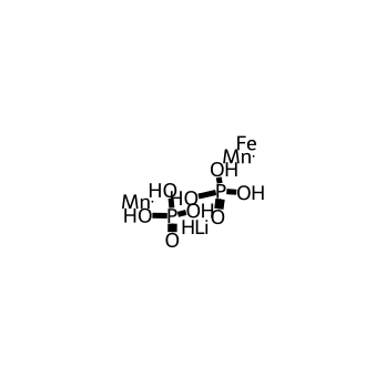 O=P(O)(O)O.O=P(O)(O)O.[Fe].[LiH].[Mn].[Mn]